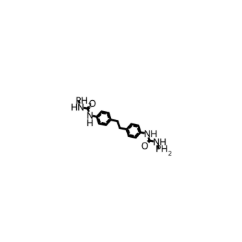 O=C(NP)Nc1ccc(CCc2ccc(NC(=O)NP)cc2)cc1